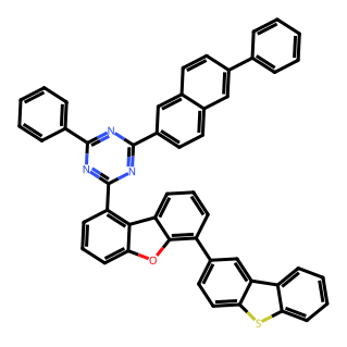 c1ccc(-c2ccc3cc(-c4nc(-c5ccccc5)nc(-c5cccc6oc7c(-c8ccc9sc%10ccccc%10c9c8)cccc7c56)n4)ccc3c2)cc1